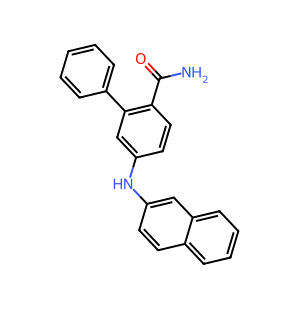 NC(=O)c1ccc(Nc2ccc3ccccc3c2)cc1-c1ccccc1